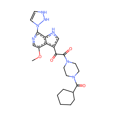 COc1cnc(N2C=CNN2)c2[nH]cc(C(=O)C(=O)N3CCN(C(=O)C4CCCCC4)CC3)c12